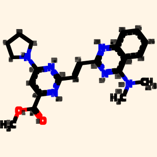 COC(=O)c1cc(N2CCCC2)nc(/C=C/c2nc(N(C)C)c3ccccc3n2)n1